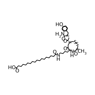 C[C@H]1CSSC[C@@H](C(=O)C[C@@H](Cc2ccc(O)cc2)C(N)=O)CC(=O)[C@H](CCCCNC(=O)CCCCCCCCCCCCCCCCC(=O)O)NC1=O